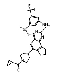 Cc1nc(N[C@H](C)c2cc(N)cc(C(F)(F)F)c2)c2cc(C3=CCN(C(=O)C4CC4)CC3)c3c(c2n1)CCC3